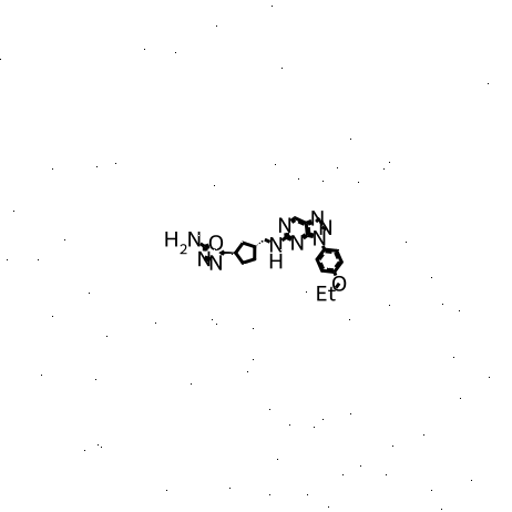 CCOc1ccc(-n2nnc3cnc(NC[C@@H]4CC[C@@H](c5nnc(N)o5)C4)nc32)cc1